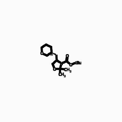 CC(C)(C)OC(=O)N1C(C[C@H]2CCCOC2)COC1(C)C